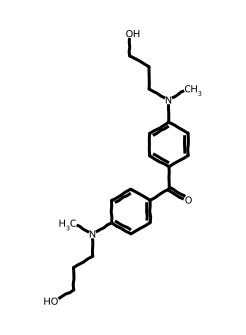 CN(CCCO)c1ccc(C(=O)c2ccc(N(C)CCCO)cc2)cc1